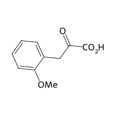 COc1ccccc1CC(=O)C(=O)O